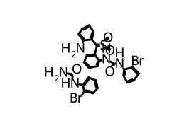 NC(=O)Nc1ccccc1Br.Nc1ccccc1C(c1ccccc1NC(=O)Nc1ccccc1Br)=S(=O)=O